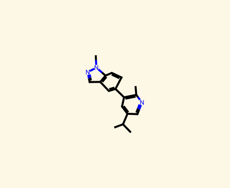 Cc1ncc(C(C)C)cc1-c1ccc2c(cnn2C)c1